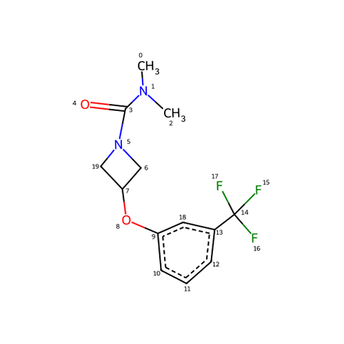 CN(C)C(=O)N1CC(Oc2cccc(C(F)(F)F)c2)C1